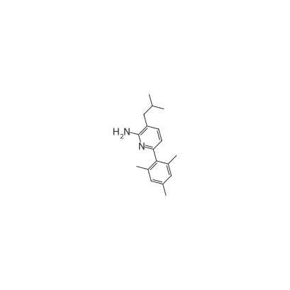 Cc1cc(C)c(-c2ccc(CC(C)C)c(N)n2)c(C)c1